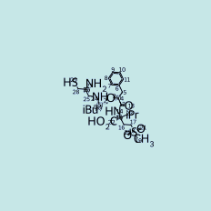 CC[C@@H](C)[C@@H](CO[C@@H](Cc1ccccc1)C(=O)N[C@@](CCS(C)(=O)=O)(C(=O)O)C(C)C)NC[C@H](N)CS